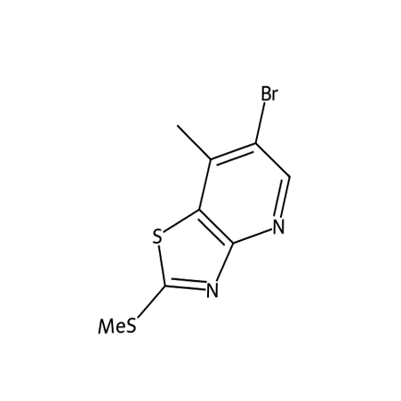 CSc1nc2ncc(Br)c(C)c2s1